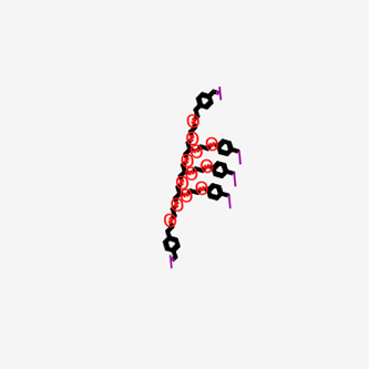 ICc1ccc(CCOCCOCC(COCC(COCC(COCCOCCc2ccc(CI)cc2)OCCOc2ccc(CI)cc2)OCCOc2ccc(CI)cc2)OCCOc2ccc(CI)cc2)cc1